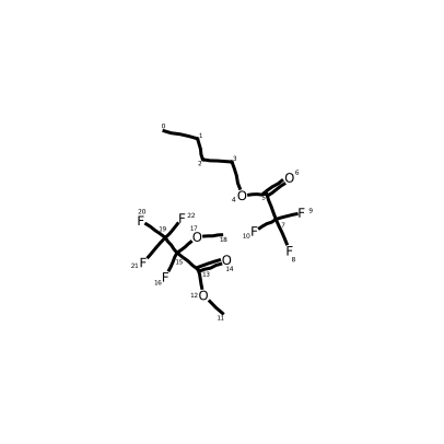 CCCCOC(=O)C(F)(F)F.COC(=O)C(F)(OC)C(F)(F)F